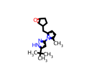 Cc1ccc(CC2CCC3OC23)n1-c1cc(C(C)(C)C)[nH]n1